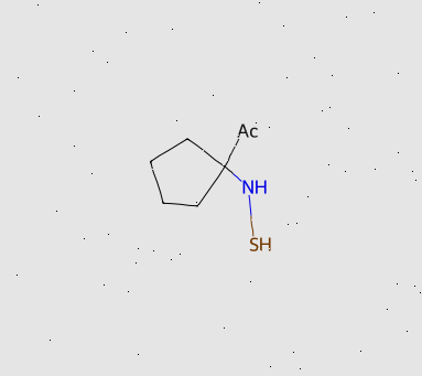 CC(=O)C1(NS)CCCC1